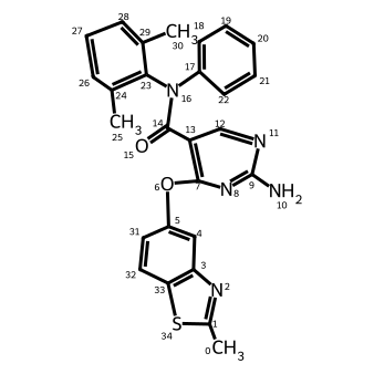 Cc1nc2cc(Oc3nc(N)ncc3C(=O)N(c3ccccc3)c3c(C)cccc3C)ccc2s1